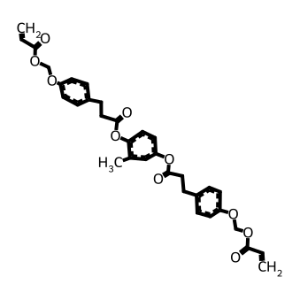 C=CC(=O)OCOc1ccc(CCC(=O)Oc2ccc(OC(=O)CCc3ccc(OCOC(=O)C=C)cc3)c(C)c2)cc1